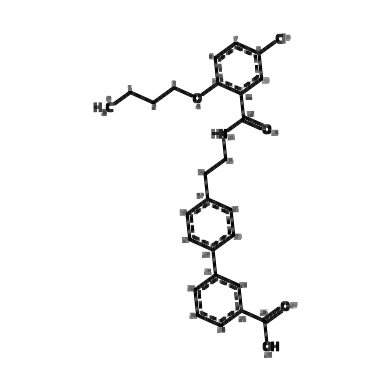 CCCCOc1ccc(Cl)cc1C(=O)NCCc1ccc(-c2cccc(C(=O)O)c2)cc1